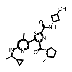 Cc1cc(N[C@H](C)C2CC2)ncc1-c1sc(C(=O)N[C@H]2C[C@H](O)C2)nc1C(=O)N1CCC[C@@H]1C